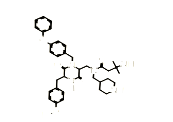 CCOc1ccc(CC2NC(=O)C(CN(CC3CCNCC3)C(=O)CC(C)(C)N)N(Cc3ccc(Oc4ccccc4)cc3)C2=O)cc1